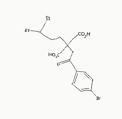 CCC(CC)CCC(CC(=O)c1ccc(Br)cc1)(C(=O)O)C(=O)O